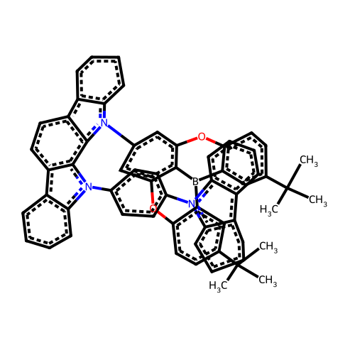 CC(C)(C)c1ccc2c(c1)B1c3cc(C(C)(C)C)ccc3Oc3cc(-n4c5ccccc5c5ccc6c7ccccc7n(-c7ccc(-n8c9ccccc9c9ccccc98)cc7)c6c54)cc(c31)O2